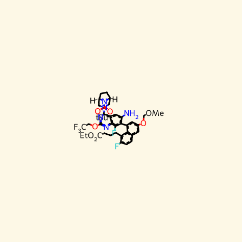 CCOC(=O)CCCc1c(F)ccc2cc(OCOC)cc(-c3c(N)cc4c(N5C[C@H]6CC[C@@H](C5)N6C(=O)OC(C)(C)C)nc(OCC(F)(F)F)nc4c3F)c12